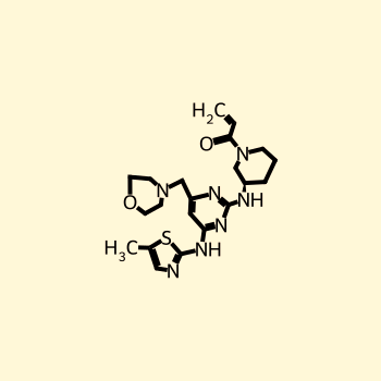 C=CC(=O)N1CCC[C@@H](Nc2nc(CN3CCOCC3)cc(Nc3ncc(C)s3)n2)C1